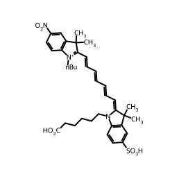 CCCC[N+]1=C(/C=C/C=C/C=C/C=C2\N(CCCCCC(=O)O)c3ccc(S(=O)(=O)O)cc3C2(C)C)C(C)(C)c2cc([N+](=O)[O-])ccc21